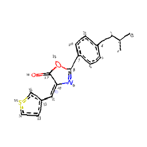 CC(C)Cc1ccc(C2=N/C(=C/c3ccsc3)C(=O)O2)cc1